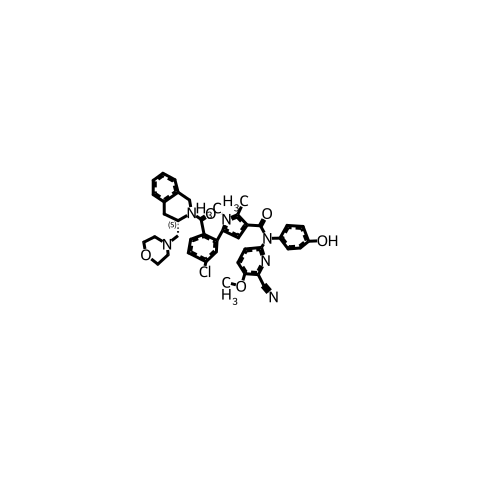 COc1ccc(N(C(=O)c2cc(-c3cc(Cl)ccc3C(=O)N3Cc4ccccc4C[C@H]3CN3CCOCC3)n(C)c2C)c2ccc(O)cc2)nc1C#N